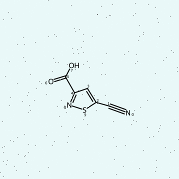 N#Cc1cc(C(=O)O)ns1